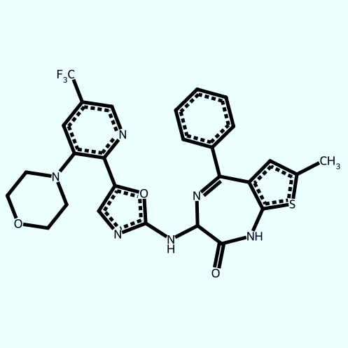 Cc1cc2c(s1)NC(=O)C(Nc1ncc(-c3ncc(C(F)(F)F)cc3N3CCOCC3)o1)N=C2c1ccccc1